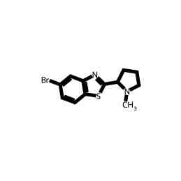 CN1CCCC1c1nc2cc(Br)ccc2s1